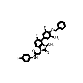 Cc1cc(-c2c(F)ccc3c2n(C)c(=O)n3CC(=O)Nc2ccc(F)cc2)cc(F)c1OCc1ccccc1